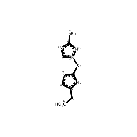 CCCCc1ncn(Sc2nc(CC(=O)O)cs2)n1